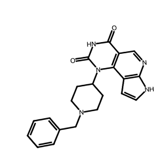 O=c1[nH]c(=O)n(C2CCN(Cc3ccccc3)CC2)c2c1cnc1[nH]ccc12